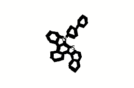 c1ccc(-c2ccc(-n3c4ccccc4c4c5ccccc5c5c(sc6ccc7ccccc7c65)c43)cc2)cc1